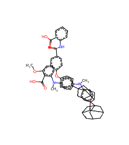 COc1cccc(N(C)c2ccc(N(C)c3ccc(C45CC6CC(C4)C(C4C7CC8CC4CC(c4ccc(Oc9ccc(C(=O)Nc%10ccccc%10C(=O)O)cc9)cc4)(C8)C7)C(C6)C5)cc3)cc2)c1C(=O)O